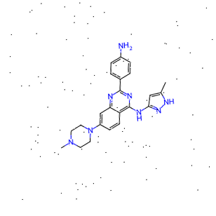 Cc1cc(Nc2nc(-c3ccc(N)cc3)nc3cc(N4CCN(C)CC4)ccc23)n[nH]1